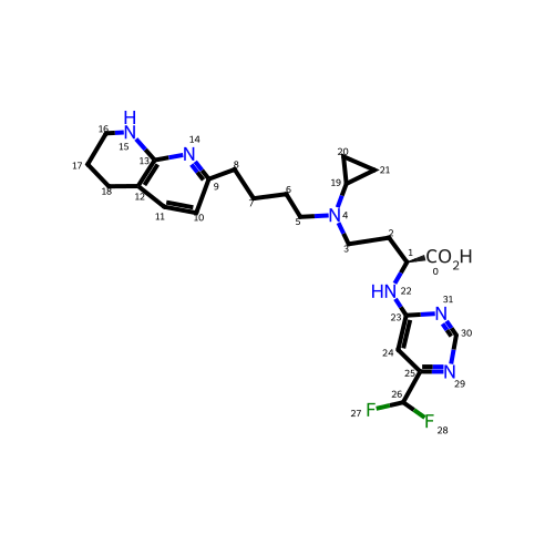 O=C(O)[C@H](CCN(CCCCc1ccc2c(n1)NCCC2)C1CC1)Nc1cc(C(F)F)ncn1